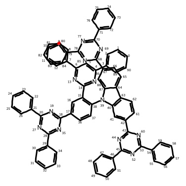 c1ccc(-c2cc(-c3ccccc3)nc(-c3cc(-c4nc(-c5ccccc5)nc(-c5ccccc5)n4)ccc3-n3c4cc(-c5nc(-c6ccccc6)nc(-c6ccccc6)n5)ccc4c4ccc(-c5nc(-c6ccccc6)nc(-c6ccccc6)n5)cc43)n2)cc1